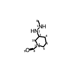 CNNC1CCCN(C=O)C1